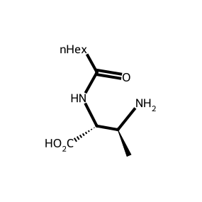 CCCCCCC(=O)N[C@@H](C(=O)O)[C@H](C)N